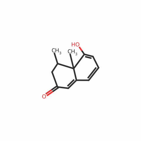 CC1CC(=O)C=C2C=CC=C(O)C21C